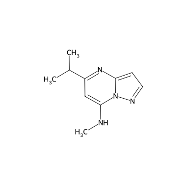 CNc1cc(C(C)C)nc2ccnn12